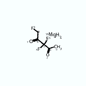 CC(=O)C(F)(F)C(=O)CF.[MgH2]